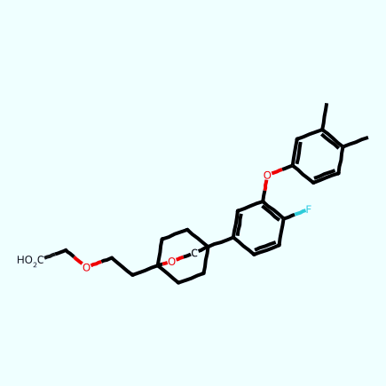 Cc1ccc(Oc2cc(C34CCC(CCOCC(=O)O)(CC3)OC4)ccc2F)cc1C